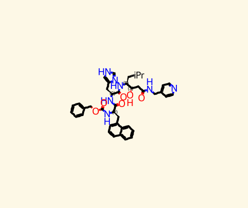 CC(C)C[C@H](NC(=O)[C@H](Cc1c[nH]cn1)NC(=O)[C@@H](Cc1cccc2ccccc12)NC(=O)OCc1ccccc1)[C@@H](O)CC(=O)NCc1ccncc1